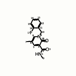 CNC(=O)c1cc(C)cn(Cc2ccccc2F)c1=O